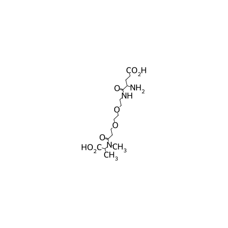 CC(C(=O)O)N(C)C(=O)CCOCCOCCNC(=O)C(N)CCC(=O)O